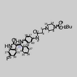 CN(C(=O)CCN1CCN(C(=O)OC(C)(C)C)CC1)c1ccc(N/C(=C2\C(=O)Nc3cc(F)ccc32)c2ccccc2)cc1